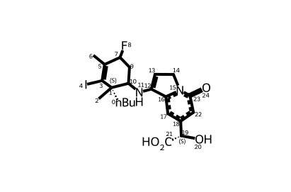 CCCC[C@]1(C)C(I)=C(C)C(F)CC1NC1=CCn2c1cc([C@H](O)C(=O)O)cc2=O